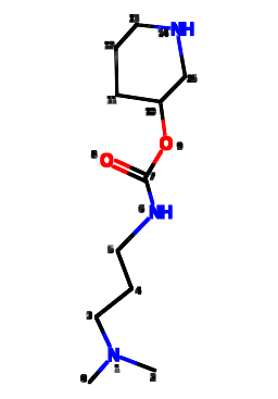 CN(C)CCCNC(=O)OC1CCCNC1